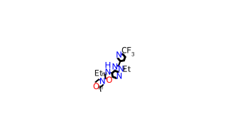 CC[C@H](Nc1ccnc2c1nc(-c1ccc(C(F)(F)F)nc1)n2CC)C(=O)N1CCO[C@H](C)C1